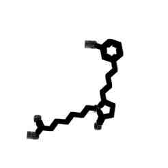 O=C(O)CCCCCCN1C(=O)CCC1CCCCc1cccc(O)c1